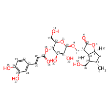 C[C@H]1C[C@@H]2OC(=O)[C@@H](CO[C@@H]3O[C@H](CO)[C@@H](OC(=O)/C=C/c4ccc(O)c(O)c4)[C@H](O)[C@H]3O)[C@@H]2[C@@H]1CO